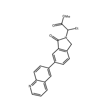 CCC(C(=O)OC)N1Cc2ccc(-c3ccc4ncccc4c3)cc2C1=O